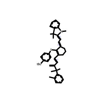 C=C(/C=C/C1=C(Sc2ccc(C(C)(C)C)cc2)C(=C/C=C2/N(C)c3ccccc3C2(C)C)/CCC1)C(C)(C)c1ccccc1C